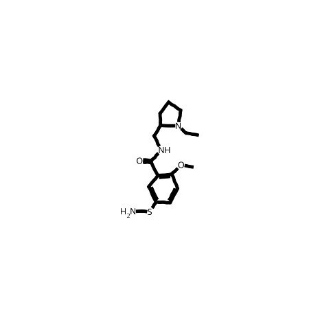 CCN1CCCC1CNC(=O)c1cc(SN)ccc1OC